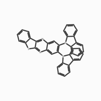 c1ccc2c(c1)sc1nc3cc(-n4c5ccccc5c5ccccc54)c(-n4c5ccccc5c5ccccc54)cc3nc12